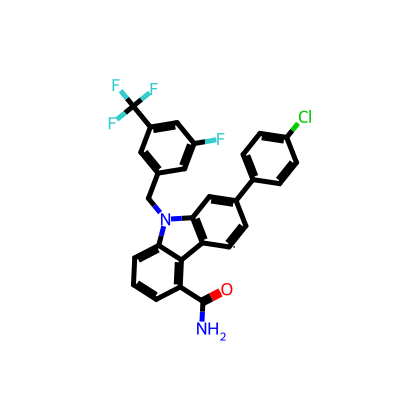 NC(=O)c1cccc2c1c1[c]cc(-c3ccc(Cl)cc3)cc1n2Cc1cc(F)cc(C(F)(F)F)c1